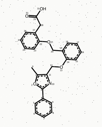 Cc1oc(-c2ccccc2)nc1COc1ccccc1COc1ccccc1CC(=O)O